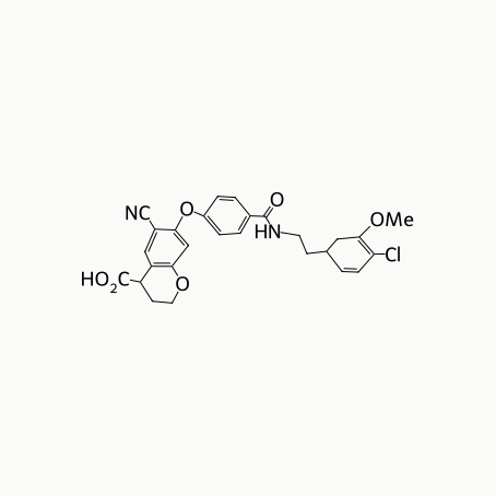 COC1=C(Cl)C=CC(CCNC(=O)c2ccc(Oc3cc4c(cc3C#N)C(C(=O)O)CCO4)cc2)C1